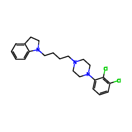 Clc1cccc(N2CCN(CCCCN3CCc4ccccc43)CC2)c1Cl